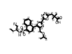 CC[C@@H](CF)NS(=O)(=O)c1ccc(-c2sc(-c3nnc(CC(C)(C)C(=O)O)o3)nc2COC(C)C)c2ccccc12